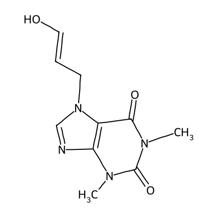 Cn1c(=O)c2c(ncn2CC=CO)n(C)c1=O